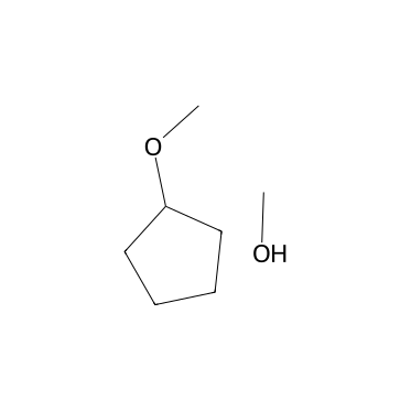 CO.COC1CCCC1